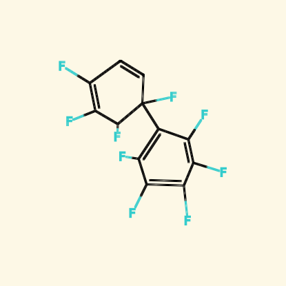 FC1=C(F)C(F)C(F)(c2c(F)c(F)c(F)c(F)c2F)C=C1